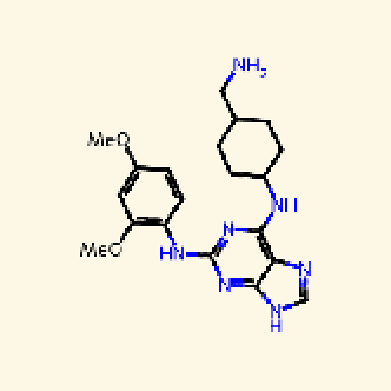 COc1ccc(Nc2nc(NC3CCC(CN)CC3)c3nc[nH]c3n2)c(OC)c1